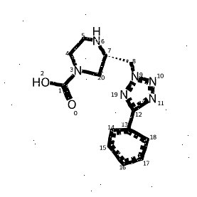 O=C(O)N1CCN[C@H](Cn2nnc(-c3ccccc3)n2)C1